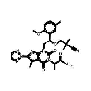 COc1ccc(F)cc1[C@H](Cn1c(=O)n(C(C)C(N)=O)c(=O)c2c(C)c(-n3nccn3)sc21)OCC(C)(C)C#N